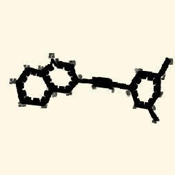 Cc1cc(C)cc(C#Cc2cnc3ccccc3c2)c1